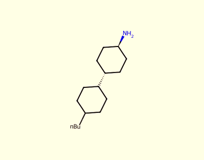 CCCCC1CCC([C@H]2CC[C@H](N)CC2)CC1